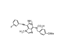 COc1ccc(CN(C(=O)O)c2nc(N)c(C#Cc3cccc(F)c3)c3c2ncn3C)cc1